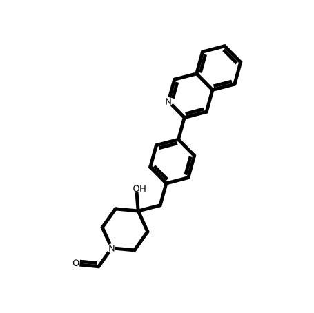 O=CN1CCC(O)(Cc2ccc(-c3cc4ccccc4cn3)cc2)CC1